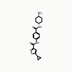 N[C@H]1CC[C@H](NC(=O)c2ccc(NC(=O)c3cc(C4CC4)on3)cc2)CC1